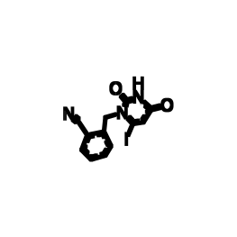 N#Cc1ccccc1Cn1c(I)cc(=O)[nH]c1=O